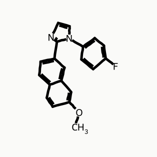 COc1ccc2ccc(-c3nccn3-c3ccc(F)cc3)cc2c1